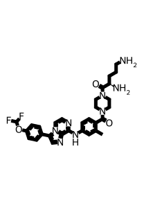 Cc1cc(Nc2nccn3c(-c4ccc(OC(F)F)cc4)cnc23)ccc1C(=O)N1CCN(C(=O)[C@@H](N)CCCN)CC1